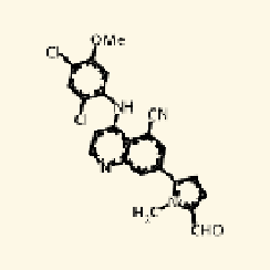 COc1cc(Nc2ccnc3cc(-c4ccc(C=O)n4C)cc(C#N)c23)c(Cl)cc1Cl